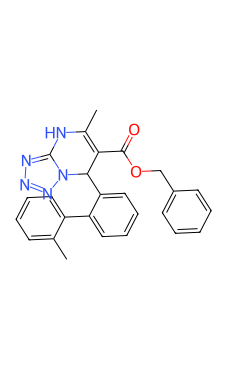 CC1=C(C(=O)OCc2ccccc2)C(c2ccccc2-c2ccccc2C)n2nnnc2N1